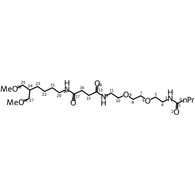 CCCC(=O)NCCOCCOCCNC(=O)CCC(=O)NCCCCC(COC)COC